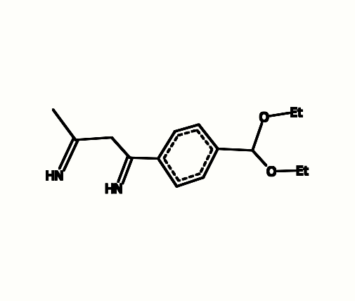 CCOC(OCC)c1ccc(C(=N)CC(C)=N)cc1